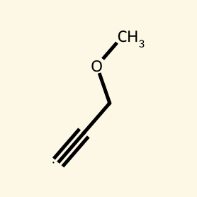 [C]#CCOC